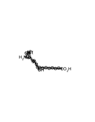 CCCN(OCC)C(=O)C1=Cc2sc(CCC3CCN(CCOCCOC(CO)OCCOCCOCCOCCOCCOCCOCCC(=O)O)CC3)cc2N=C(N)C1